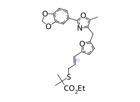 CCOC(=O)C(C)(C)SC/C=C/c1ccc(Cc2nc(-c3ccc4c(c3)OCO4)oc2C)o1